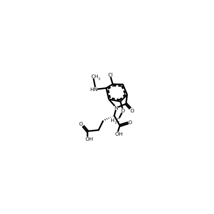 CNc1c(Cl)cc2c(OC)c1N([C@@H](CCC(=O)O)C(=O)O)C2=O